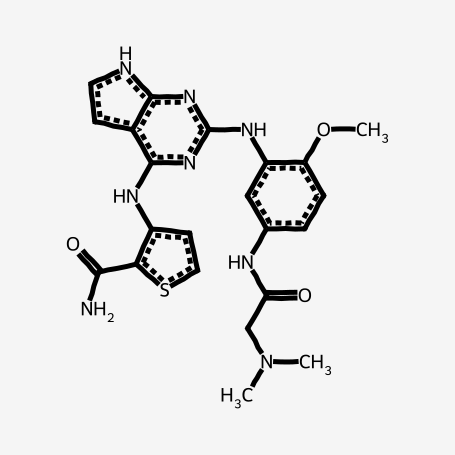 COc1ccc(NC(=O)CN(C)C)cc1Nc1nc(Nc2ccsc2C(N)=O)c2cc[nH]c2n1